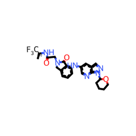 C[C@H](NC(=O)CN1Cc2cccc(Nc3cnc4c(cnn4C4CCCCO4)c3)c2C1=O)C(F)(F)F